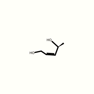 C[C@H](O)/C=C\CO